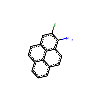 Nc1c(Br)cc2ccc3cccc4ccc1c2c34